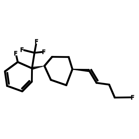 FCCC=C[C@H]1CC[C@H](C2(C(F)(F)F)C=CC=CC2F)CC1